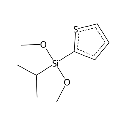 CO[Si](OC)(c1cccs1)C(C)C